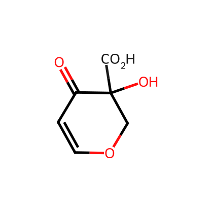 O=C(O)C1(O)COC=CC1=O